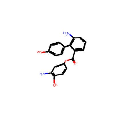 Nc1cc(OC(=O)c2cccc(N)c2-c2ccc(O)cc2)ccc1O